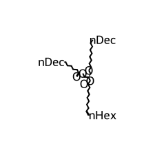 CCCCCC/C=C\CCCCCCCC(=O)O[C@H](COCCCCCCCCCCCCCCCCCC)COC(=O)CCCCCCCCCCCCCCC